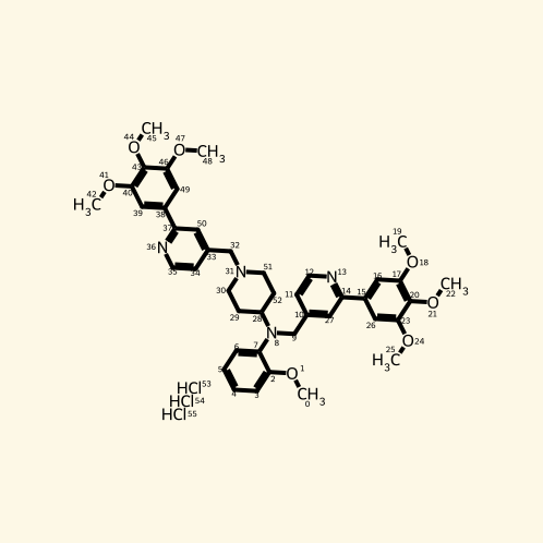 COc1ccccc1N(Cc1ccnc(-c2cc(OC)c(OC)c(OC)c2)c1)C1CCN(Cc2ccnc(-c3cc(OC)c(OC)c(OC)c3)c2)CC1.Cl.Cl.Cl